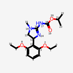 CCOc1cccc(OCC)c1C1CN(C)C(NC(=O)OC(C)C)=N1